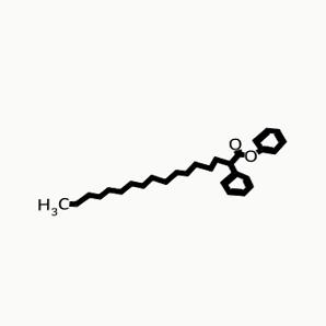 CCCCCCCCCCCCCCCC(C(=O)Oc1ccccc1)c1ccccc1